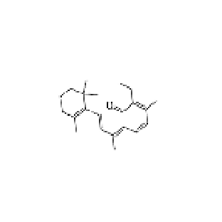 CCC(C=O)=C(C)/C=C\C=C(C)C=CC1=C(C)CCCC1(C)C